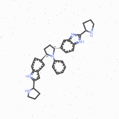 c1ccc(N2[C@@H](c3ccc4[nH]c(C5CCCN5)cc4c3)CC[C@@H]2c2ccc3[nH]c(C4CCCN4)nc3c2)cc1